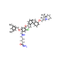 Cc1c(OCCCN2CCCCC2(C)C)cccc1-c1cccc2c1CC[C@@H]2Oc1cc(OCc2cc(C#N)cc(C#N)c2)c(CNCCCCC(N)=O)cc1Cl